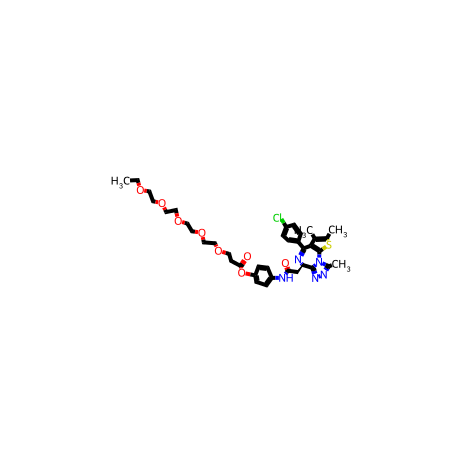 CCOCCOCCOCCOCCOCCC(=O)Oc1ccc(NC(=O)C[C@H]2N=C(c3ccc(Cl)cc3)c3c(sc(C)c3C)-n3c(C)nnc32)cc1